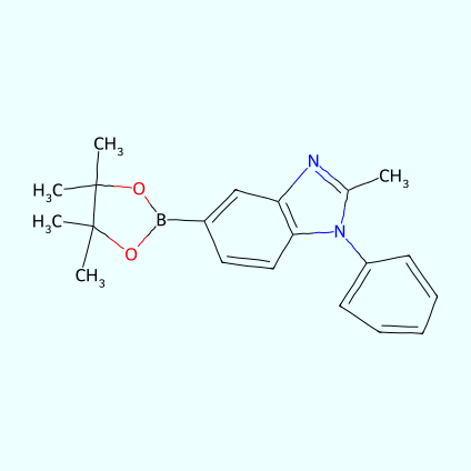 Cc1nc2cc(B3OC(C)(C)C(C)(C)O3)ccc2n1-c1ccccc1